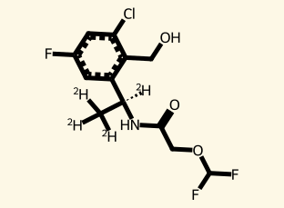 [2H]C([2H])([2H])[C@]([2H])(NC(=O)COC(F)F)c1cc(F)cc(Cl)c1CO